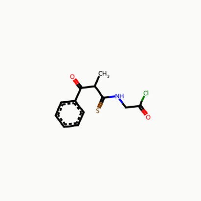 CC(C(=O)c1ccccc1)C(=S)NCC(=O)Cl